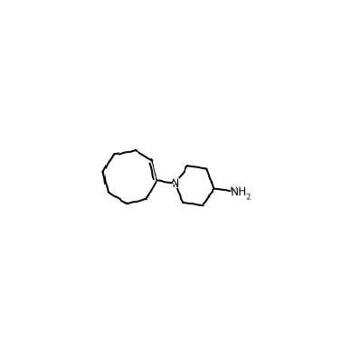 NC1CCN(/C2=C/CCCCCC2)CC1